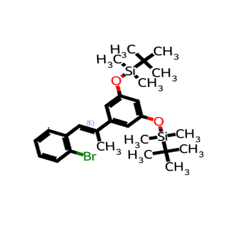 C/C(=C\c1[c]cccc1Br)c1cc(O[Si](C)(C)C(C)(C)C)cc(O[Si](C)(C)C(C)(C)C)c1